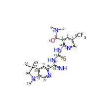 CN(C)C(=O)c1cc(C(F)(F)F)cnc1NC(=S)NC(=N)c1cc2c(cn1)N(C)CC2(C)C